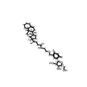 C[C@H](CCC(=O)NCCOCc1cc([C@@H]2O[C@H](CO)[C@H](O)C2O)c(F)cc1F)[C@@]1(C)CC[C@H]2[C@@H]3CC=C4CCCC[C@]4(C)[C@H]3CC[C@@]21C